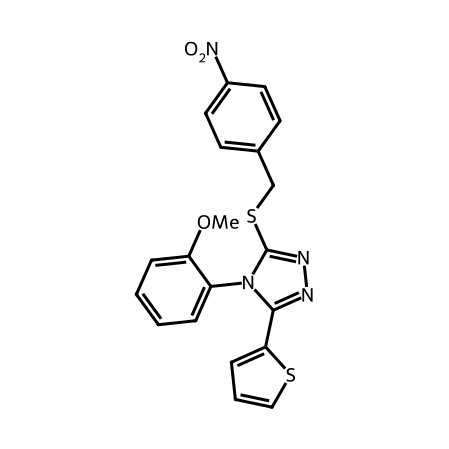 COc1ccccc1-n1c(SCc2ccc([N+](=O)[O-])cc2)nnc1-c1cccs1